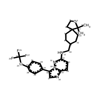 CC1(C)OCCC12CCC(CNc1ccc3ncc(-c4ccc(OC(F)(F)F)cc4)n3n1)CC2